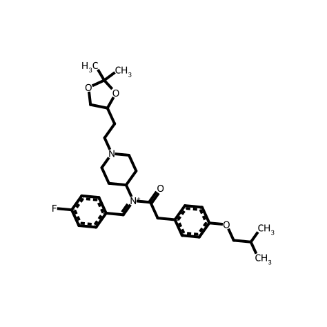 CC(C)COc1ccc(CC(=O)[N+](=Cc2ccc(F)cc2)C2CCN(CCC3COC(C)(C)O3)CC2)cc1